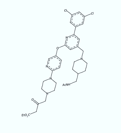 CCOC(=O)CC(=O)CN1CCN(c2ccc(Oc3cc(CN4CCC(CNC(C)=O)CC4)cc(-c4cc(Cl)cc(Cl)c4)n3)cn2)CC1